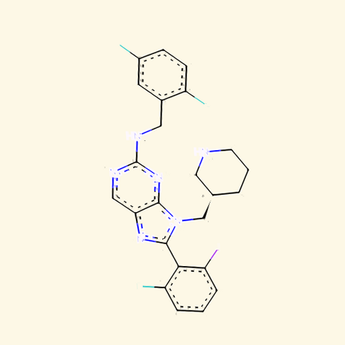 Fc1ccc(F)c(CNc2ncc3nc(-c4c(F)cccc4I)n(C[C@@H]4CCCNC4)c3n2)c1